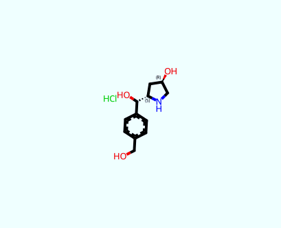 Cl.OCc1ccc(C(O)[C@@H]2C[C@@H](O)CN2)cc1